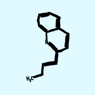 CCC=Cc1ccc2ccccc2n1